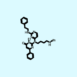 CCn1c(N(CCCCNC(C)C)c2ccnc(NCCc3ccccc3)n2)nc(-c2ccccc2)cc1=O